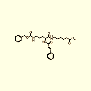 COC(=O)CCCCCNC(=O)[C@H](CCCNC(=O)OCc1ccccc1)NC(=O)/C=C/c1ccccc1